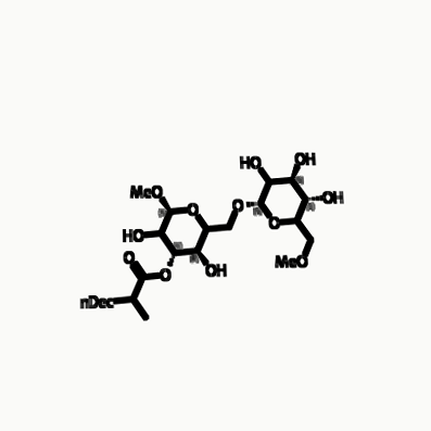 CCCCCCCCCCC(C)C(=O)O[C@@H]1C(O)[C@@H](OC)OC(CO[C@H]2OC(COC)[C@@H](O)[C@H](O)C2O)[C@H]1O